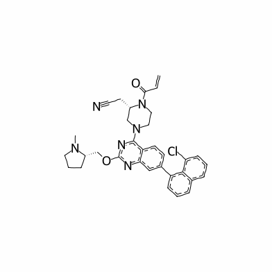 C=CC(=O)N1CCN(c2nc(OC[C@@H]3CCCN3C)nc3cc(-c4cccc5cccc(Cl)c45)ccc23)C[C@@H]1CC#N